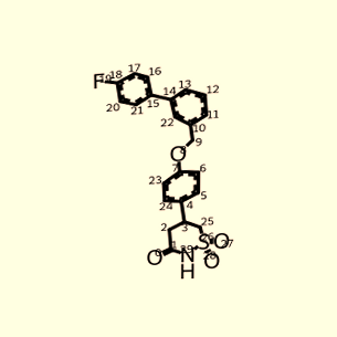 O=C1CC(c2ccc(OCc3cccc(-c4ccc(F)cc4)c3)cc2)CS(=O)(=O)N1